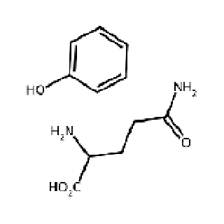 NC(=O)CCC(N)C(=O)O.Oc1ccccc1